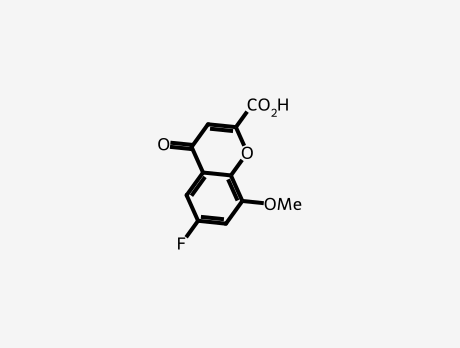 COc1cc(F)cc2c(=O)cc(C(=O)O)oc12